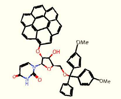 COc1ccc(C(OC[C@H]2O[C@@H](n3ccc(=O)[nH]c3=O)[C@@H](Oc3cc4ccc5ccc6ccc7ccc8ccc3c3c8c7c6c5c43)C2O)(c2ccccc2)c2ccc(OC)cc2)cc1